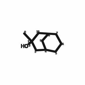 CC1(O)CC2CCCC(C2)C1